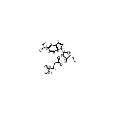 CC[C@H]1O[C@@H](n2ccc3cc([N+](=O)[O-])ccc32)[C@@H](OC(=O)CCC(=O)NC)C1C